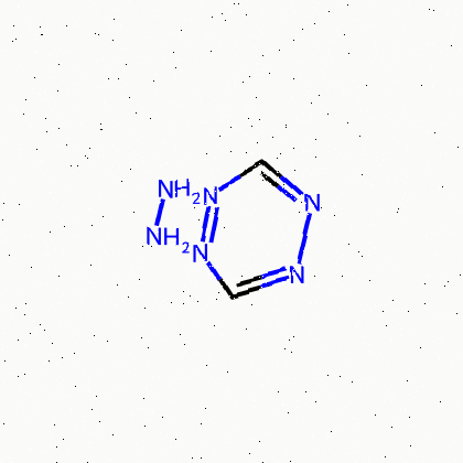 NN.c1nncnn1